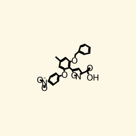 Cc1cc(OCc2ccccc2)c(-c2cc(C(=O)O)no2)c(Oc2ccc([N+](=O)[O-])cc2)c1